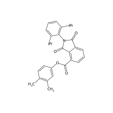 Cc1ccc(OC(=O)c2cccc3c2C(=O)N(c2c(C(C)C)cccc2C(C)C)C3=O)cc1C